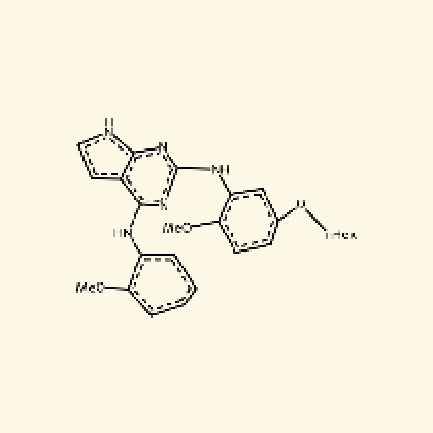 CCCCCCOc1ccc(OC)c(Nc2nc(Nc3ccccc3OC)c3cc[nH]c3n2)c1